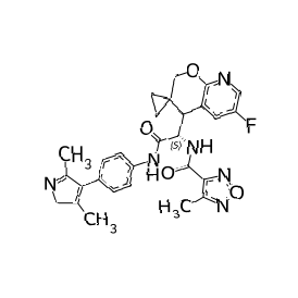 CC1=NCC(C)=C1c1ccc(NC(=O)[C@@H](NC(=O)c2nonc2C)C2c3cc(F)cnc3OCC23CC3)cc1